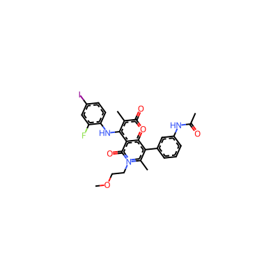 COCCn1c(C)c(-c2cccc(NC(C)=O)c2)c2oc(=O)c(C)c(Nc3ccc(I)cc3F)c2c1=O